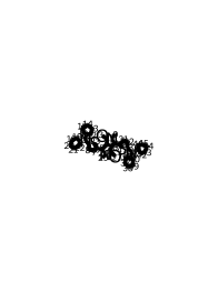 CN1C(=O)C2=C(c3ccc(N(c4ccccc4)c4ccccc4)s3)N(C)C(=O)C2=C1c1ccc(N(c2ccccc2)c2ccccc2)s1